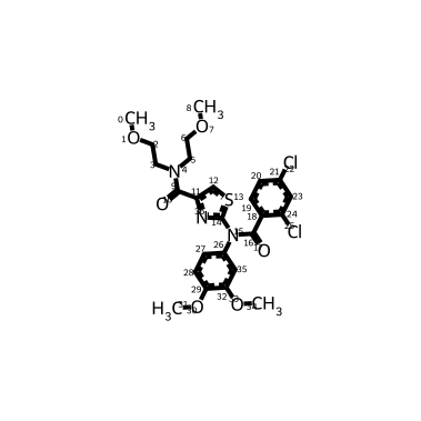 COCCN(CCOC)C(=O)c1csc(N(C(=O)c2ccc(Cl)cc2Cl)c2ccc(OC)c(OC)c2)n1